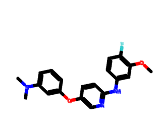 COc1cc(Nc2ccc(Oc3cccc(N(C)C)c3)cn2)ccc1F